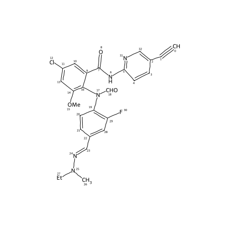 C#Cc1ccc(NC(=O)c2cc(Cl)cc(OC)c2N(C=O)c2ccc(C=NN(C)CC)cc2F)nc1